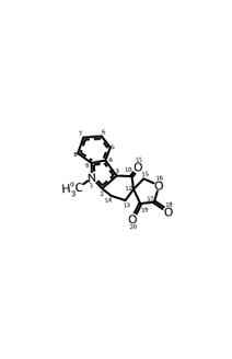 Cn1c2c(c3ccccc31)C(=O)C1(CC2)COC(=O)C1=O